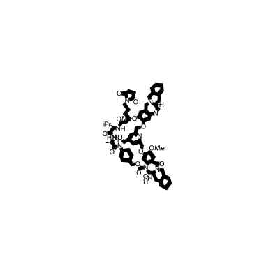 COc1cc2c(cc1OCc1cc(CO)cc(COc3cc4c(cc3OC)C(=O)N3Cc5ccccc5C[C@H]3C(O)N4C(=O)OCc3ccc(NC(=O)[C@H](C)NC(=O)[C@@H](NC(=O)CCCCCN4C(=O)C=CC4=O)C(C)C)cc3)n1)N=C[C@@H]1Cc3ccccc3CN1C2